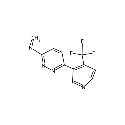 C=Nc1ccc(-c2cnccc2C(F)(F)F)nn1